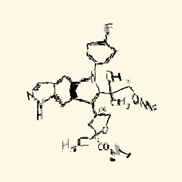 COCC(C)(C)c1c([C@H]2CO[C@](C)(C(=O)O)C2)c2cc3[nH]ncc3cc2n1-c1ccc(F)cc1